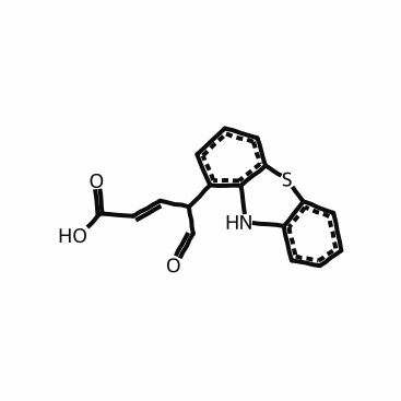 O=CC(C=CC(=O)O)c1cccc2c1Nc1ccccc1S2